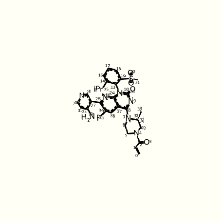 C=CC(=O)N1CCN(c2nc(=O)n(-c3c(C(C)C)cccc3S(C)(=O)=O)c3nc(-c4cnccc4N)c(F)cc23)[C@@H](C)C1